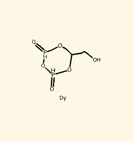 O=[PH]1OC(CO)O[PH](=O)O1.[Dy]